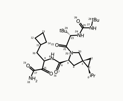 CC(C)[C@@H]1C[C@]12C[C@@H](C(=O)NC(CC1CCC1)C(=O)C(N)=O)N(C(=O)[C@@H](NC(=O)NC(C)(C)C)C(C)(C)C)C2